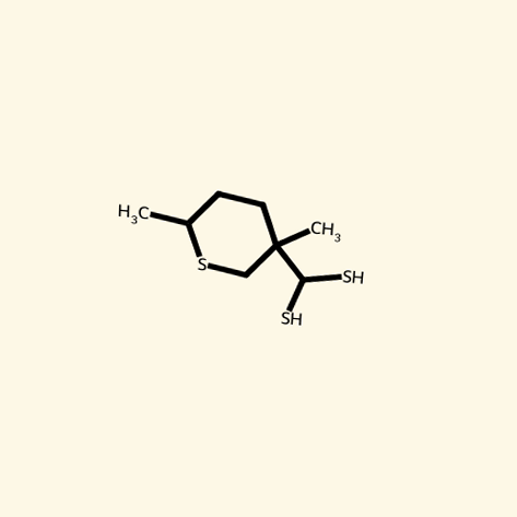 CC1CCC(C)(C(S)S)CS1